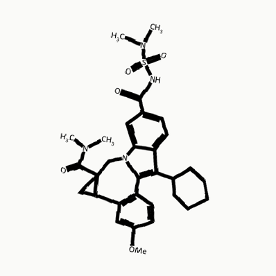 COc1ccc2c(c1)C1CC1(C(=O)N(C)C)Cn1c-2c(C2CCCCC2)c2ccc(C(=O)NS(=O)(=O)N(C)C)cc21